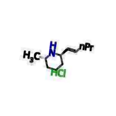 CCCC=C[C@H]1CCC[C@H](C)N1.Cl